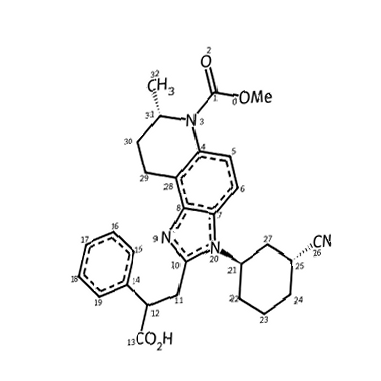 COC(=O)N1c2ccc3c(nc(CC(C(=O)O)c4ccccc4)n3[C@@H]3CCC[C@@H](C#N)C3)c2CC[C@@H]1C